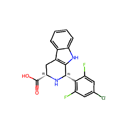 O=C(O)[C@@H]1Cc2c([nH]c3ccccc23)[C@H](c2c(F)cc(Cl)cc2F)N1